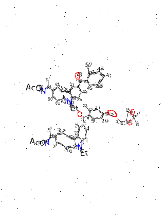 CCn1c2ccc(C(=O)c3ccc(OCC4COC(C)(C)O4)cc3C)cc2c2cc(C(C)=NOC(C)=O)ccc21.CCn1c2ccc(C(=O)c3ccccc3C)cc2c2cc(C(C)=NOC(C)=O)ccc21